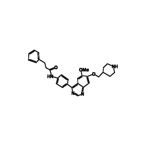 COc1cc2c(-c3ccc(NC(=O)CCc4ccccc4)cc3)ncnc2cc1OCC1CCNCC1